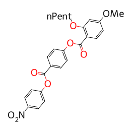 CCCCCOc1cc(OC)ccc1C(=O)Oc1ccc(C(=O)Oc2ccc([N+](=O)[O-])cc2)cc1